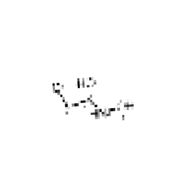 [OH].[O]CCNO